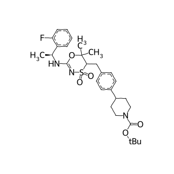 C[C@H](NC1=NS(=O)(=O)C(Cc2ccc(C3CCN(C(=O)OC(C)(C)C)CC3)cc2)C(C)(C)O1)c1ccccc1F